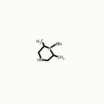 CC1CNCC(C)N1C(C)(C)C